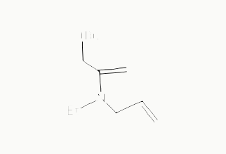 C=CCN(CC)C(=C)CC(C)(C)C